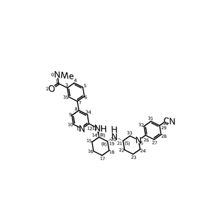 CNC(=O)c1cccc(-c2ccnc(N[C@@H]3CCCC[C@H]3N[C@H]3CCCN(c4ccc(C#N)cc4)C3)c2)c1